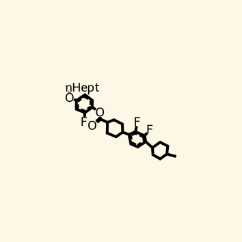 CCCCCCCOc1ccc(OC(=O)C2CCC(c3ccc(C4CCC(C)CC4)c(F)c3F)CC2)c(F)c1